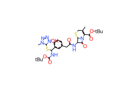 CC1=C(C(=O)OC(C)(C)C)N2C(=O)C(NC(=O)Cc3cccc(C(NC(=O)OC(C)(C)C)SC4N(C)N=NN4O)c3)C2SC1